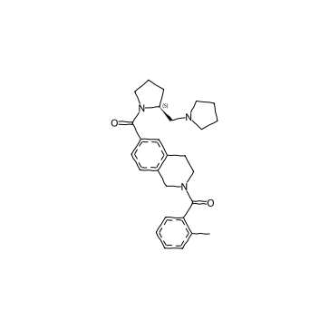 Cc1ccccc1C(=O)N1CCc2cc(C(=O)N3CCC[C@H]3CN3CCCC3)ccc2C1